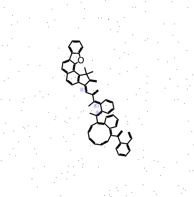 C=Cc1ccccc1C(=C)c1ccccccc(/C(C)=c2\cccc\c2=C(\C)C(=C)/C=C2\C(=C)C(C)(C)c3c2ccc2ccc4c5ccccc5oc4c32)c2ccccc12